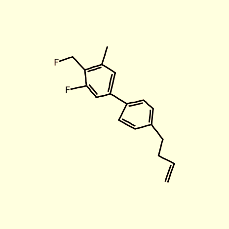 C=CCCc1ccc(-c2cc(C)c(CF)c(F)c2)cc1